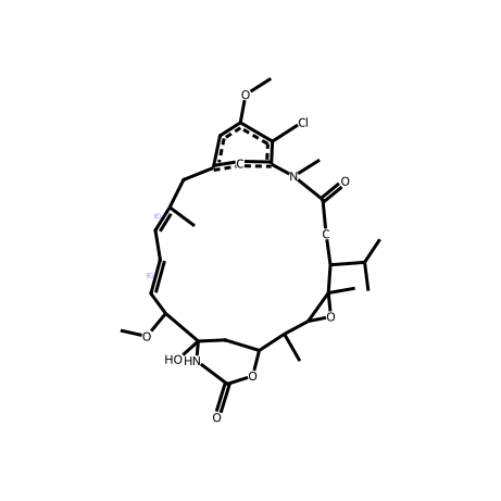 COc1cc2cc(c1Cl)N(C)C(=O)CC(C(C)C)C1(C)OC1C(C)C1CC(O)(NC(=O)O1)C(OC)/C=C/C=C(\C)C2